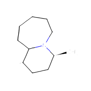 C[C@H]1CCCC2CCCCCN21